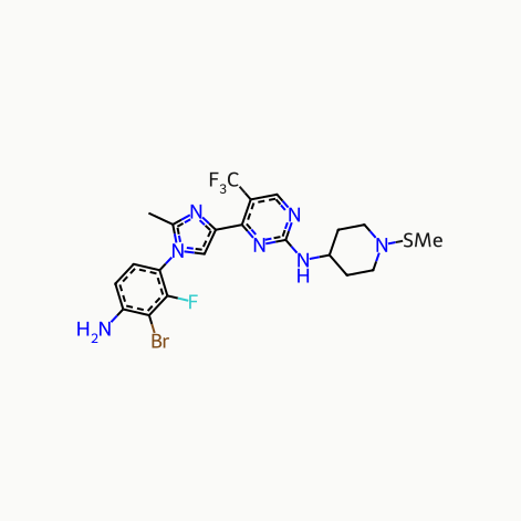 CSN1CCC(Nc2ncc(C(F)(F)F)c(-c3cn(-c4ccc(N)c(Br)c4F)c(C)n3)n2)CC1